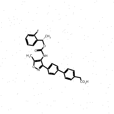 Cc1onc(-c2ccc(-c3ccc(CC(=O)O)cc3)cc2)c1NC(=O)O[C@@H](C)c1ccccc1F